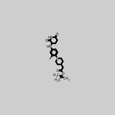 CC(C)(C)OC(=O)CC1CCN(c2ccc(NC3CCC(=O)NC3=O)cc2F)CC1